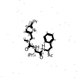 CC(=O)[C@H](Cc1ccccc1)NC(=O)[C@@H](NC(=O)N(C)Cc1csc(C(C)C)n1)C(C)C